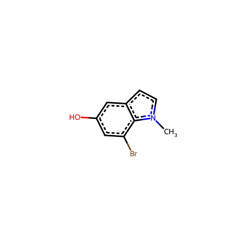 Cn1ccc2cc(O)cc(Br)c21